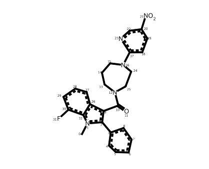 Cn1c(-c2ccccc2)c(C(=O)N2CCCN(c3ccc([N+](=O)[O-])cn3)CC2)c2cccc(F)c21